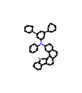 c1ccc(-c2cc(-c3ccccc3)cc(N(c3ccccc3)c3ccc4ccc5ccc6c7ccccc7[se]c6c5c4c3)c2)cc1